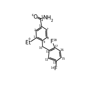 CCc1cc(C(N)=O)ccc1Cc1cc(F)ccc1F